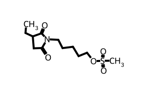 CCC1CC(=O)N(CCCCCOS(C)(=O)=O)C1=O